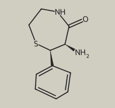 N[C@@H]1C(=O)NCCS[C@@H]1c1ccccc1